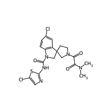 CN(C)C(=O)C(=O)N1CCC2(C1)CN(C(=O)Nc1ncc(Cl)s1)c1ccc(Cl)cc12